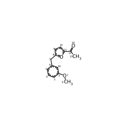 COc1cccc(Cc2ccc(C(C)=O)o2)c1